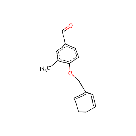 Cc1cc(C=O)ccc1OCC1=CCCC=C1